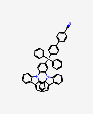 N#Cc1ccc(-c2ccc([Si](c3ccccc3)(c3ccccc3)c3ccc(-n4c5ccccc5c5ccccc54)c(-n4c5ccccc5c5ccccc54)c3)cc2)cc1